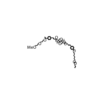 C=CCOOCCCCCCOc1ccc(/C=C/COO[C@H]2CO[C@H]3C(OC(=O)/C=C/c4ccc(C(=C)OCCCOCCCOC)cc4)CO[C@@H]23)cc1